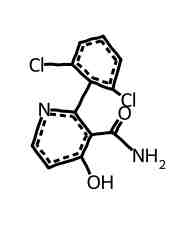 NC(=O)c1c(O)ccnc1-c1c(Cl)cccc1Cl